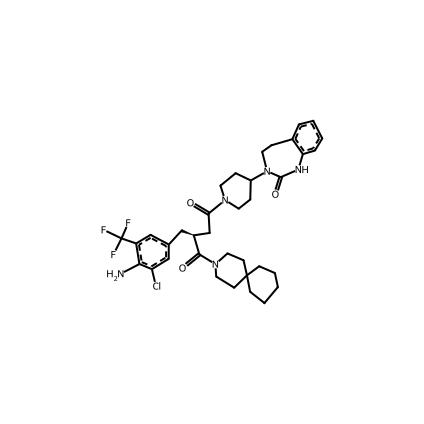 Nc1c(Cl)cc(C[C@@H](CC(=O)N2CCC(N3CCc4ccccc4NC3=O)CC2)C(=O)N2CCC3(CCCCC3)CC2)cc1C(F)(F)F